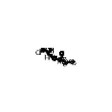 CC(=O)OCCCS(=O)(=O)NC(=O)c1ccc(-c2ccc(NCCN(C[C@@H](O)c3cccc(Cl)c3)C(=O)OC(C)(C)C)cc2)cc1OC1CCCCC1